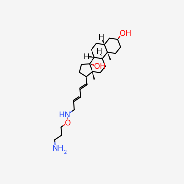 C[C@]12CC[C@H](O)C[C@H]1CC[C@@H]1[C@@H]2CC[C@]2(C)[C@@H](/C=C/C=C/CNOCCCN)CC[C@]12O